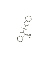 CC[SiH]=C1C(C(C)(C)C2=Cc3ccccc3C2)=Cc2ccccc21